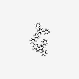 c1ccc(-c2cc(-c3ccccc3)nc(-c3ccc(-c4cccc(-c5ccc6ccc7c(-c8ccccc8)cc(-c8ccccc8)nc7c6n5)c4)cc3)n2)cc1